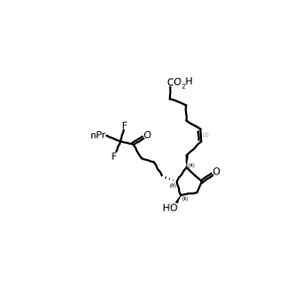 CCCC(F)(F)C(=O)CCC[C@H]1[C@H](O)CC(=O)[C@@H]1C/C=C\CCCC(=O)O